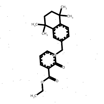 CCOC(=O)c1cccn(Cc2ccc3c(c2)C(C)(C)CCC3(C)C)c1=O